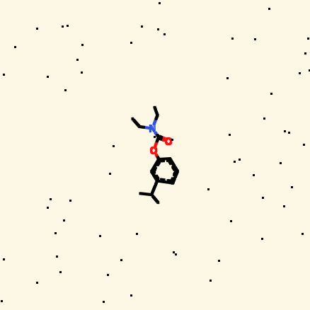 CCN(CC)C(=O)Oc1cccc(C(C)C)c1